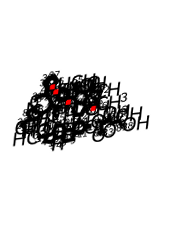 C#C[C@]1(O)CC[C@H]2[C@@H]3CCC4=CC(=O)CC[C@@H]4[C@H]3CC[C@@]21C.CC[C@]1(O)C[C@@H]2C[N@@](CCc3c([nH]c4ccccc34)[C@@](C(=O)OC)(c3cc4c(cc3OC)N(C)[C@H]3[C@@](O)(C(=O)OC)[C@H](OC(C)=O)[C@]5(CC)C=CCN6CC[C@]43[C@@H]65)C2)C1.O=C1O[C@H]([C@@H](O)CO)C(O)=C1O